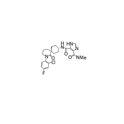 CNC(=O)c1nc[nH]c1C(=O)N[C@H]1CC[C@@]2(CCCN(c3ccc(F)cc3Cl)C2=O)CC1